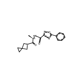 C[C@@H](NC(=O)c1noc(-c2ccccc2)n1)C(=O)N1CC2(CC2)C1